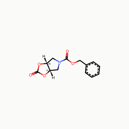 O=C1O[C@H]2CN(C(=O)OCc3ccccc3)C[C@H]2O1